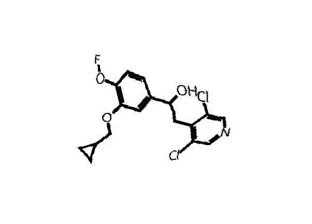 OC(Cc1c(Cl)cncc1Cl)c1ccc(OF)c(OCC2CC2)c1